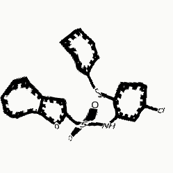 O=S(=O)(Nc1cc(Cl)ccc1Sc1ccccc1)c1cc2ccccc2o1